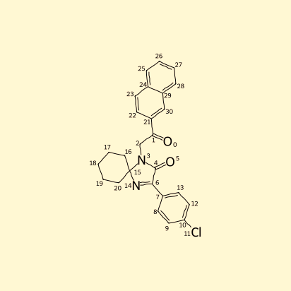 O=C(CN1C(=O)C(c2ccc(Cl)cc2)=NC12CCCCC2)c1ccc2ccccc2c1